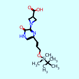 CC(C)(C)[Si](C)(C)OCC=Cc1c[nH]c(=O)c(N2CC(C(=O)O)C2)n1